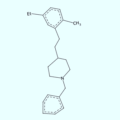 CCc1ccc(C)c(CCC2CCN(Cc3ccccc3)CC2)c1